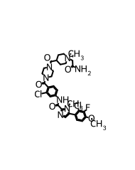 COc1ccc(-c2cnc(C(=O)Nc3ccc(C(=O)N4CCN(C(=O)C5CC[N+](C)(CC(N)=O)CC5)CC4)c(Cl)c3)n2C)c(Cl)c1F